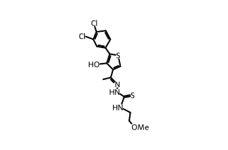 COCCNC(=S)NN=C(C)c1csc(-c2ccc(Cl)c(Cl)c2)c1O